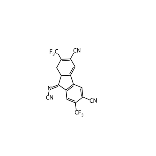 N#C/N=C1\c2cc(C(F)(F)F)c(C#N)cc2C2=CC(C#N)=C(C(F)(F)F)CC21